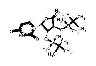 C=C1O[C@@H](n2ccc(=O)[nH]c2=O)[C@@H](O[Si](C)(C)C(C)(C)C)[C@@H]1O[Si](C)(C)C(C)(C)C